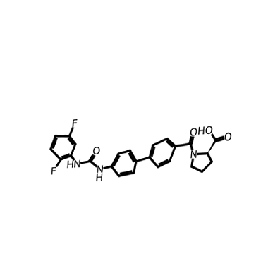 O=C(Nc1ccc(-c2ccc(C(=O)N3CCC[C@@H]3C(=O)O)cc2)cc1)Nc1cc(F)ccc1F